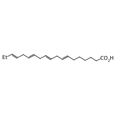 CCC=CCC=CCC=CCC=CCCCCCC(=O)O